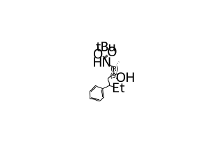 CCC(C[C@H](O)[C@@H](C)NC(=O)OC(C)(C)C)c1ccccc1